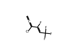 C=C=C(Cl)C(F)=CC(F)(F)F